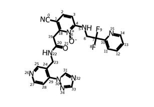 N#Cc1ccc(NCC(F)(F)c2ccccn2)[n+]([O-])c1CC(=O)NCc1cnccc1-n1cncn1